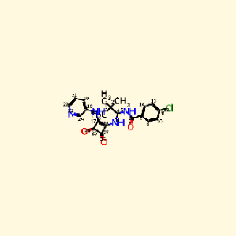 CC(C)(C)C(NC(=O)c1ccc(Cl)cc1)Nc1c(Nc2cccnc2)c(=O)c1=O